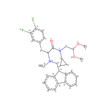 CCOC(CN(C(=O)C(Cc1ccc(F)c(F)c1)N(CC1c2ccccc2-c2ccccc21)C(=O)O)C1CC1)OCC